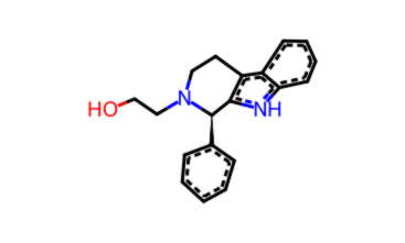 OCCN1CCc2c([nH]c3ccccc23)[C@H]1c1ccccc1